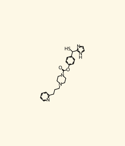 O=C(Oc1ccc(C(S)c2ncc[nH]2)cc1)N1CCN(CCCc2ccccn2)CC1